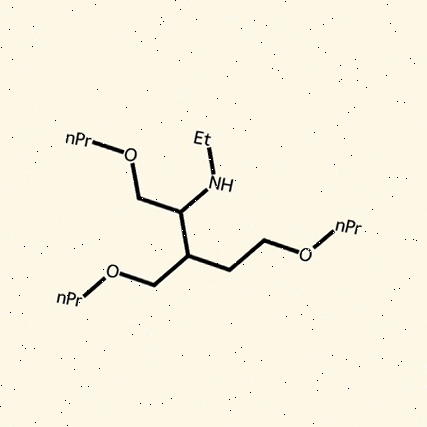 CCCOCCC(COCCC)C(COCCC)NCC